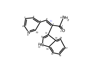 NC(=O)/C(=C/c1cccnc1)c1c[nH]c2ccccc12